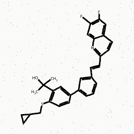 CC(C)(O)c1cc(-c2cccc(C=Cc3ccc4cc(F)c(F)cc4n3)c2)ccc1SCC1CC1